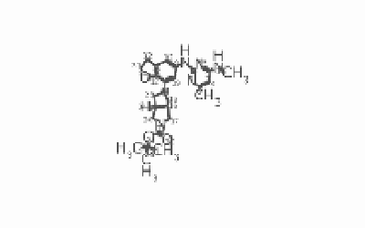 CNc1cc(C)nc(Nc2cc3c(c([C@H]4CC5CN(C(=O)OC(C)(C)C)C[C@H]5C4)c2)OCC3)n1